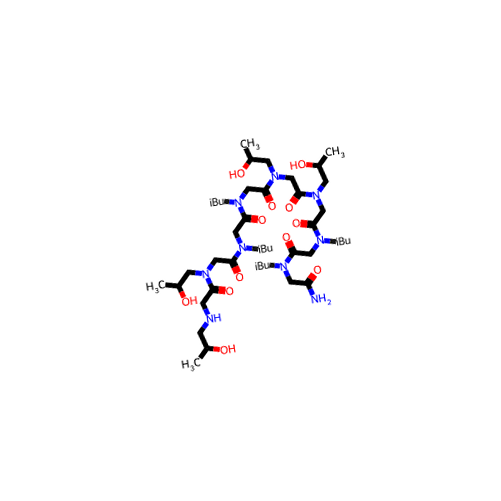 CCC(C)N(CC(N)=O)C(=O)CN(C(=O)CN(CC(C)O)C(=O)CN(CC(C)O)C(=O)CN(C(=O)CN(C(=O)CN(CC(C)O)C(=O)CNCC(C)O)C(C)CC)C(C)CC)C(C)CC